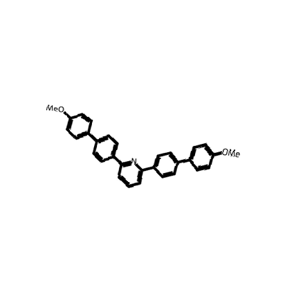 COc1ccc(-c2ccc(-c3cccc(-c4ccc(-c5ccc(OC)cc5)cc4)n3)cc2)cc1